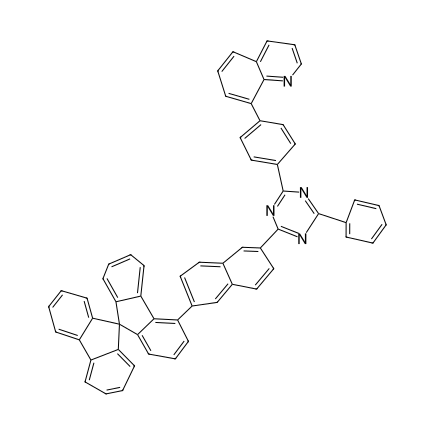 c1ccc(-c2nc(-c3ccc(-c4cccc5cccnc45)cc3)nc(-c3ccc4cc(-c5cccc6c5-c5ccccc5C65c6ccccc6-c6ccccc65)ccc4c3)n2)cc1